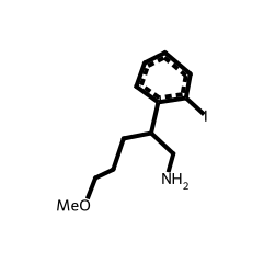 COCCCC(CN)c1ccccc1I